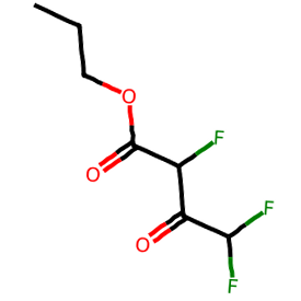 CCCOC(=O)C(F)C(=O)C(F)F